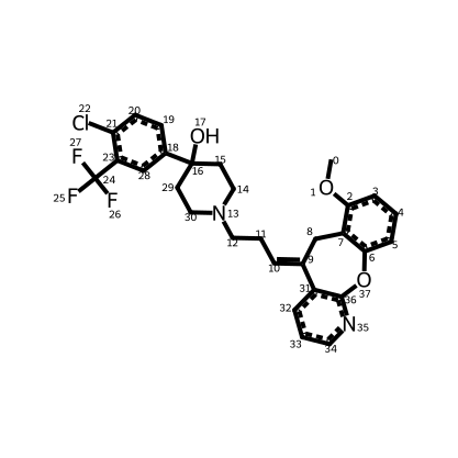 COc1cccc2c1CC(=CCCN1CCC(O)(c3ccc(Cl)c(C(F)(F)F)c3)CC1)c1cccnc1O2